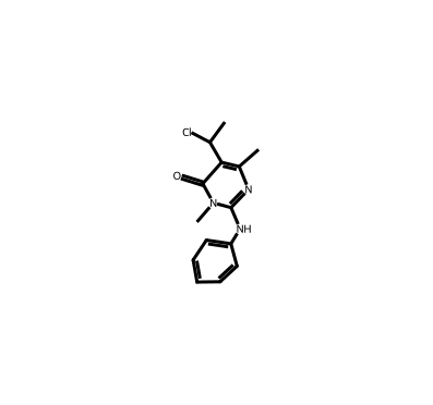 Cc1nc(Nc2ccccc2)n(C)c(=O)c1C(C)Cl